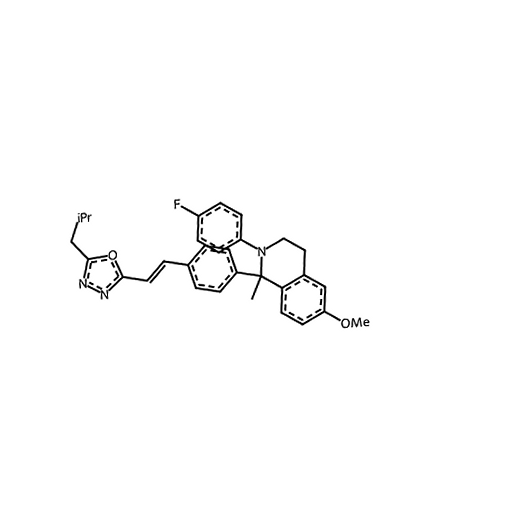 COc1ccc2c(c1)CCN(c1ccc(F)cc1)C2(C)c1ccc(C=Cc2nnc(CC(C)C)o2)cc1